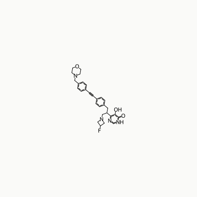 O=c1[nH]cnc(C(Cc2ccc(C#Cc3ccc(CN4CCOCC4)cc3)cc2)CN2CC(F)C2)c1O